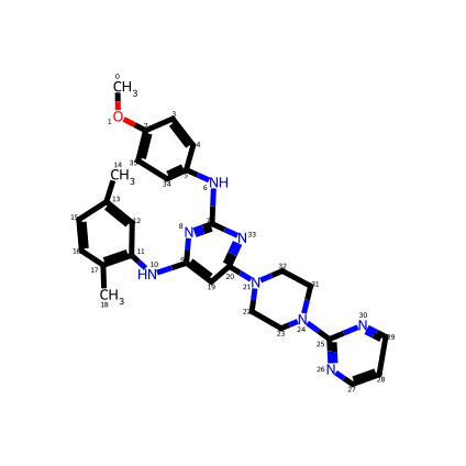 COc1ccc(Nc2nc(Nc3cc(C)ccc3C)cc(N3CCN(c4ncccn4)CC3)n2)cc1